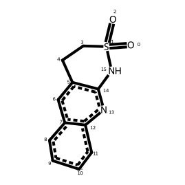 O=S1(=O)CCc2cc3cc[c]cc3nc2N1